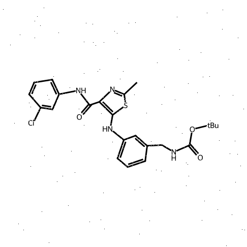 Cc1nc(C(=O)Nc2cccc(Cl)c2)c(Nc2cccc(CNC(=O)OC(C)(C)C)c2)s1